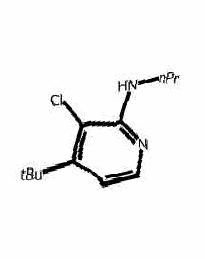 CCCNc1nccc(C(C)(C)C)c1Cl